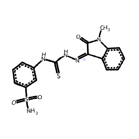 CN1C(=O)/C(=N\NC(=S)Nc2cccc(S(N)(=O)=O)c2)c2ccccc21